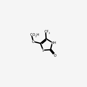 O=C(O)Oc1sc(=O)[nH]c1C(F)(F)F